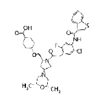 C[C@@H]1CN([C@H]2C[C@@H](CO[C@H]3CC[C@H](C(=O)O)CC3)N(C(=O)Cc3cc(Cl)c(NC(=O)c4csc5ccccc45)cc3F)C2)C[C@H](C)O1